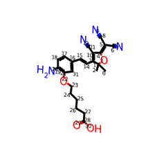 CC1(C)OC(=C(C#N)C#N)C(C#N)=C1C=Cc1ccc(N)c(OCCCCCC(=O)O)c1